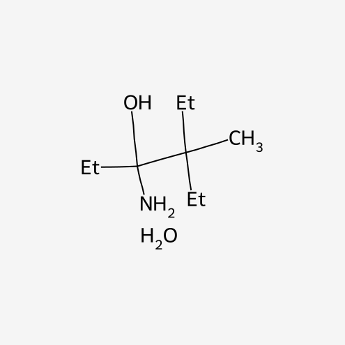 CCC(N)(O)C(C)(CC)CC.O